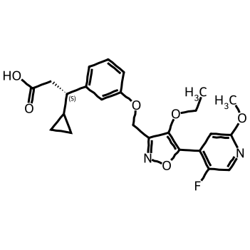 CCOc1c(COc2cccc([C@@H](CC(=O)O)C3CC3)c2)noc1-c1cc(OC)ncc1F